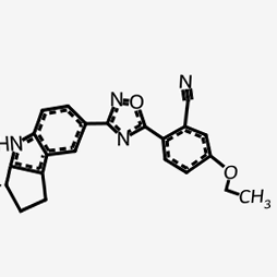 CCOc1ccc(-c2nc(-c3ccc4[nH]c5c(c4c3)CC[CH]5)no2)c(C#N)c1